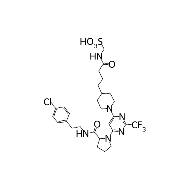 O=C(CCCC1CCN(c2cc(N3CCCC3C(=O)NCCc3ccc(Cl)cc3)nc(C(F)(F)F)n2)CC1)NCS(=O)(=O)O